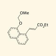 CCOC(=O)/C=C/c1cccc2cccc(OCOC)c12